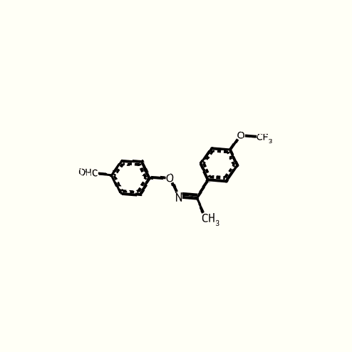 CC(=NOc1ccc(C=O)cc1)c1ccc(OC(F)(F)F)cc1